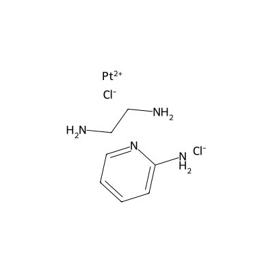 NCCN.Nc1ccccn1.[Cl-].[Cl-].[Pt+2]